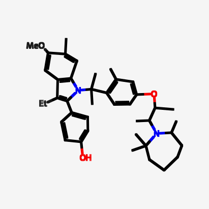 CCc1c(-c2ccc(O)cc2)n(C(C)(C)c2ccc(OC(C)C(C)N3C(C)CCCCC3(C)C)cc2C)c2cc(C)c(OC)cc12